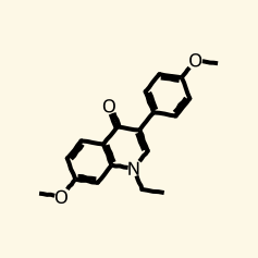 CCn1cc(-c2ccc(OC)cc2)c(=O)c2ccc(OC)cc21